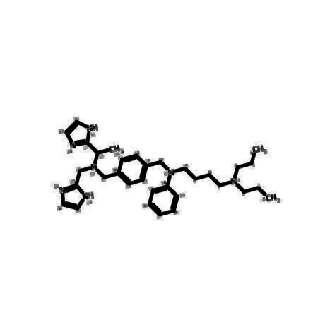 CCCN(CCC)CCCCN(Cc1ccc(CN(Cc2ncc[nH]2)C(C)c2ncc[nH]2)cc1)c1ccccc1